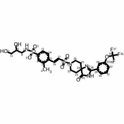 Cc1cc(S(=O)(=O)NCC(O)CO)ccc1C=CS(=O)(=O)N1CCC2(CC1)N=C(c1cccc(OC(F)(F)F)c1)NC2=O